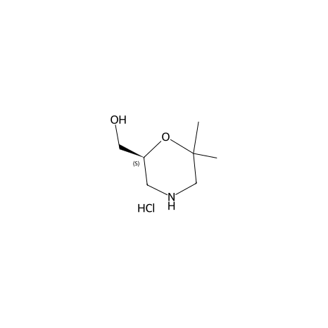 CC1(C)CNC[C@@H](CO)O1.Cl